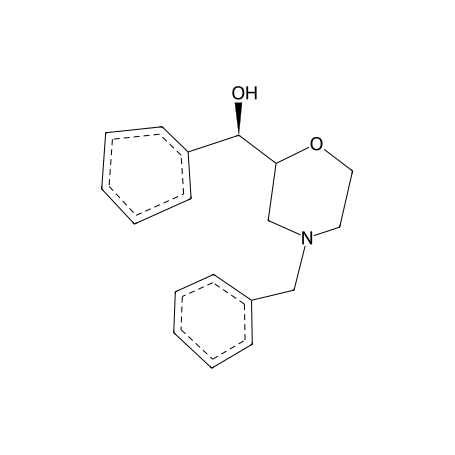 O[C@H](c1ccccc1)C1CN(Cc2ccccc2)CCO1